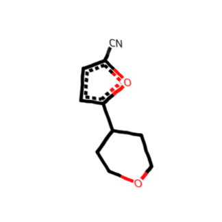 N#Cc1ccc(C2CCOCC2)o1